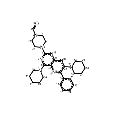 O=CN1CCN(c2nc(N3CCCCC3)c3nc(-c4ccccc4)c(N4CCCCC4)nc3n2)CC1